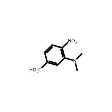 CN(C)c1cc(C(=O)O)ccc1[N+](=O)[O-]